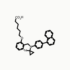 [2H]C1(N(Cc2ccccc2OCCCCCC(=O)O)c2ccc(-c3cccc4ccccc34)cc2)CC1